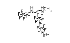 CNCCNC.F[P-](F)(F)(F)(F)F.F[P-](F)(F)(F)(F)F.F[P-](F)(F)(F)(F)F.[Ir+3]